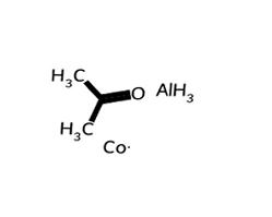 CC(C)=O.[AlH3].[Co]